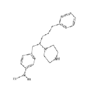 CCN(CC)c1ccc(CC(CCCc2ccccc2)N2CCNCC2)cc1